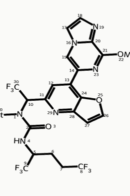 CCN(C(=O)NC(CCC(F)(F)F)C(F)(F)F)C(c1cc(-c2cn3ccnc3c(OC)n2)c2occc2n1)C(F)(F)F